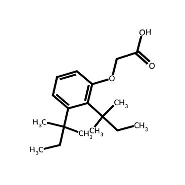 CCC(C)(C)c1cccc(OCC(=O)O)c1C(C)(C)CC